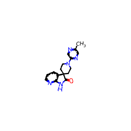 Cc1cnc(N2CCC3(CC2)C(=O)Nc2ncccc23)cn1